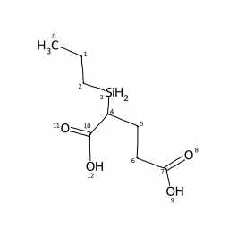 CCC[SiH2]C(CCC(=O)O)C(=O)O